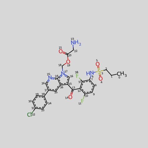 CCCS(=O)(=O)Nc1ccc(F)c(C(=O)c2cn(COC(=O)CN)c3ncc(-c4ccc(Cl)cc4)cc23)c1F